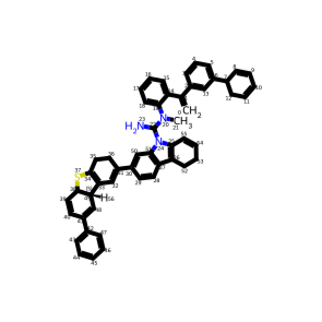 C=C(c1cccc(C2C=CC=CC2)c1)c1ccccc1N(C)C(N)n1c2c(c3ccc(C4=CC5=C(CC4)SC4C=CC(c6ccccc6)=C[C@@H]54)cc31)CCC=C2